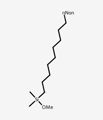 CCCCCCCCCCCCCCCCC[CH][Si](C)(C)OC